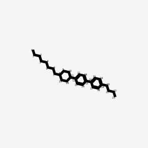 CCCCCCCCC1CCC(c2ccc(-c3ccc(CCCC)cc3)cc2)CC1